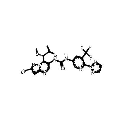 CO[C@H](c1c(NC(=O)Nc2cnc(-n3nccn3)c(C(F)(F)F)c2)cnc2cc(Cl)nn12)C(C)C